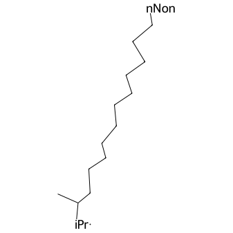 CCCCCCCCCCCCCCCCCCCCC(C)[C](C)C